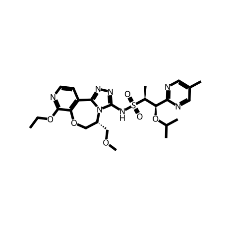 CCOc1nccc2c1OC[C@@H](COC)n1c(NS(=O)(=O)[C@@H](C)[C@H](OC(C)C)c3ncc(C)cn3)nnc1-2